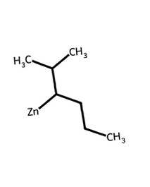 CCC[CH]([Zn])C(C)C